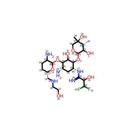 C[C@@H]1C(O)[C@@H](OC2C(O)C(O[C@H]3O[C@H](CNCCO)CCC3N)[C@@H](N)C[C@H]2NC(=N)C(O)C(F)F)OCC1(C)O